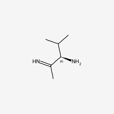 CC(=N)[C@H](N)C(C)C